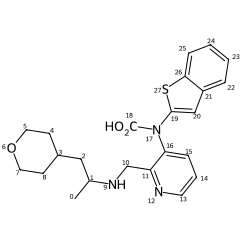 CC(CC1CCOCC1)NCc1ncccc1N(C(=O)O)c1cc2ccccc2s1